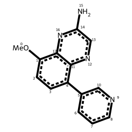 COc1ccc(-c2cccnc2)c2ncc(N)nc12